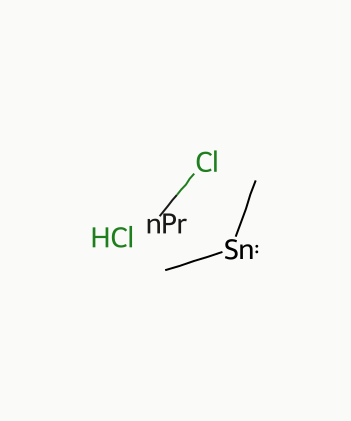 CCCCl.Cl.[CH3][Sn][CH3]